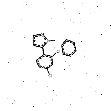 Cn1nccc1-c1ccc(Cl)cc1Cl.c1ccccc1